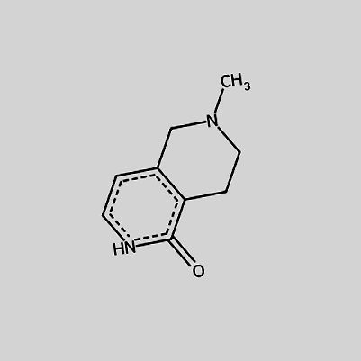 CN1CCc2c(cc[nH]c2=O)C1